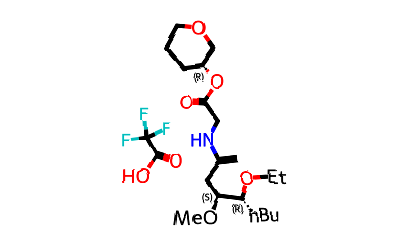 C=C(C[C@H](OC)[C@@H](CCCC)OCC)NCC(=O)O[C@@H]1CCCOC1.O=C(O)C(F)(F)F